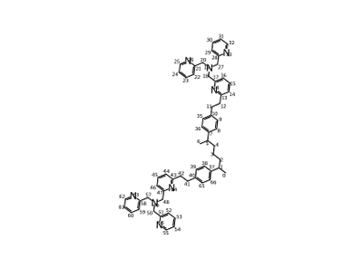 CC(CCCC(C)c1ccc(CCc2cccc(CN(Cc3ccccn3)Cc3ccccn3)n2)cc1)c1ccc(CCc2cccc(CN(Cc3ccccn3)Cc3ccccn3)n2)cc1